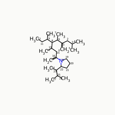 C=C(CC(C)C)C(C)C(C(C)CC)C(C)CC(=C)N1CCCC1C(C)C(C)C